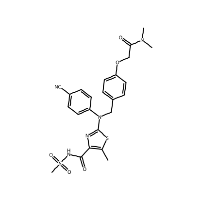 Cc1sc(N(Cc2ccc(OCC(=O)N(C)C)cc2)c2ccc(C#N)cc2)nc1C(=O)NS(C)(=O)=O